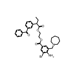 CCC(C(=O)OCCOC(=O)c1cc(Br)c(N)c(CN2CCCCCC2)c1)c1cccc(C(=O)c2ccccc2)c1